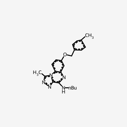 CCCCNc1nc2cc(OCc3ccc(C)cc3)ccc2n2c(C)nnc12